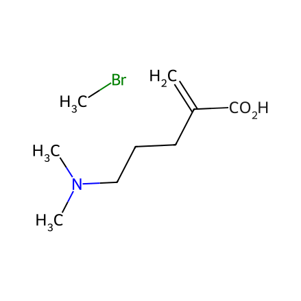 C=C(CCCN(C)C)C(=O)O.CBr